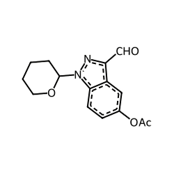 CC(=O)Oc1ccc2c(c1)c(C=O)nn2C1CCCCO1